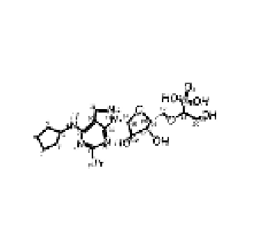 CC(C)c1nc(NC2CCCC2)c2cnn([C@@H]3O[C@H](COC(CO)P(=O)(O)O)[C@@H](O)[C@H]3O)c2n1